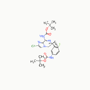 CC(C)(C)OC(=O)NC1=N[C@](C)(c2cc(NC(=O)OC(C)(C)C)ccc2F)Cn2cc(Cl)nc21